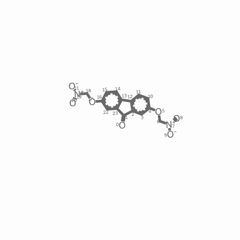 O=C1c2cc(OC[N+](=O)[O-])ccc2-c2ccc(OC[N+](=O)[O-])cc21